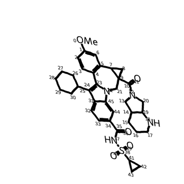 COc1ccc2c(c1)C1CC1(C(=O)N1CC3CCCNC3C1)Cn1c-2c(C2CCCCC2)c2ccc(C(=O)NS(=O)(=O)C3CC3)cc21